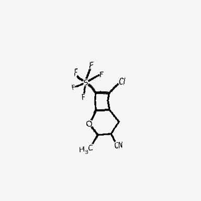 CC1OC2C(CC1C#N)C(Cl)C2S(F)(F)(F)(F)F